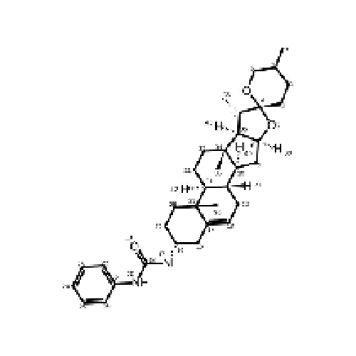 CC1CC[C@@]2(OC1)O[C@H]1C[C@H]3[C@@H]4CC=C5C[C@H](NC(=O)Nc6ccccc6)CC[C@]5(C)[C@H]4CC[C@]3(C)[C@H]1[C@@H]2C